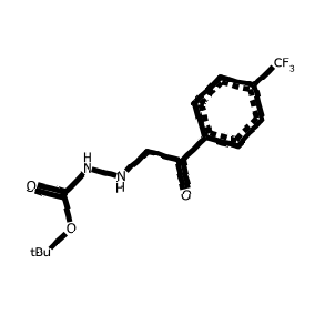 CC(C)(C)OC(=O)NNCC(=O)c1ccc(C(F)(F)F)cc1